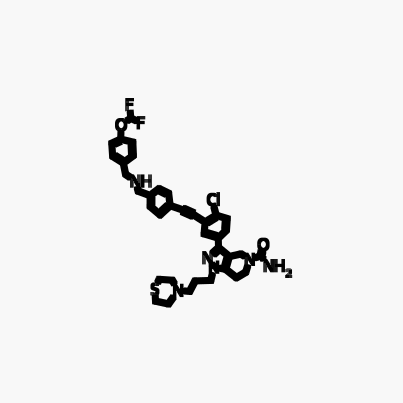 NC(=O)N1CCc2c(c(-c3ccc(Cl)c(C#Cc4ccc(CNCc5ccc(OC(F)F)cc5)cc4)c3)nn2CCCN2CCSCC2)C1